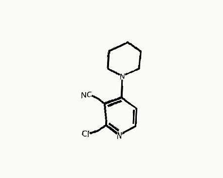 N#Cc1c(N2CCCCC2)ccnc1Cl